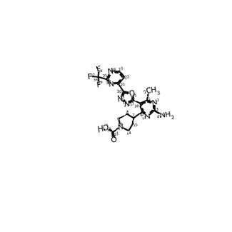 Cc1nc(N)nc(C2CCN(C(=O)O)CC2)c1-c1nnc(-c2ccnc(C(F)(F)F)n2)o1